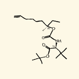 C=CCCCC[C@@](C)(CC)OC(=O)N[C@H](C(=O)OC(C)(C)C)C(C)(C)C